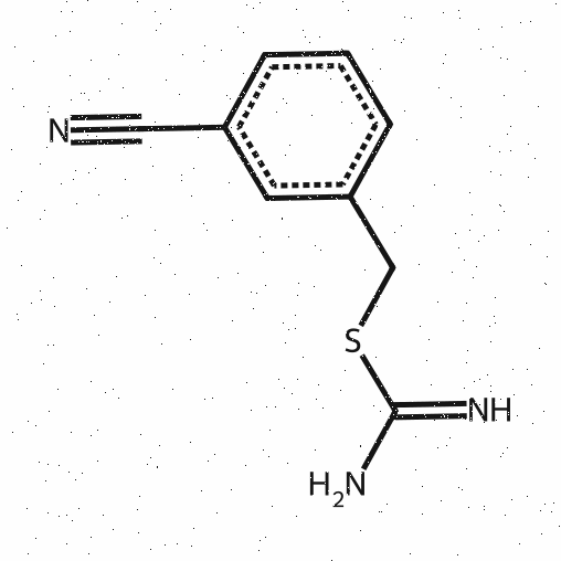 N#Cc1cccc(CSC(=N)N)c1